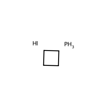 C1CCC1.I.P